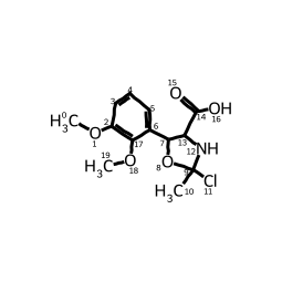 COc1cccc(C2OC(C)(Cl)NC2C(=O)O)c1OC